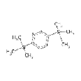 C[Si](C)(C)c1ccc([Si](C)(C)C)nc1